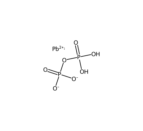 O=P([O-])([O-])OP(=O)(O)O.[Pb+2]